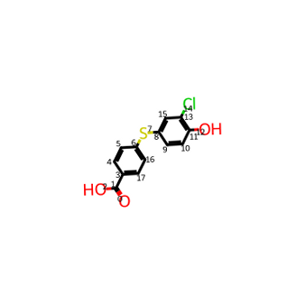 O=C(O)c1ccc(Sc2ccc(O)c(Cl)c2)cc1